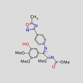 COC(=O)/N=C(SC)/C(=N/c1ccc(-c2noc(C)n2)cc1)c1cc(O)c(OC)c(OC)c1